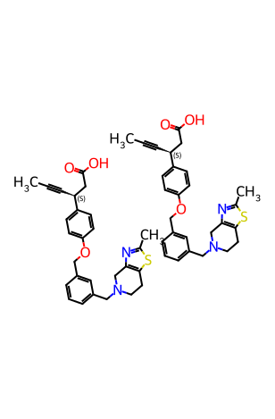 CC#C[C@@H](CC(=O)O)c1ccc(OCc2cccc(CN3CCc4sc(C)nc4C3)c2)cc1.CC#C[C@@H](CC(=O)O)c1ccc(OCc2cccc(CN3CCc4sc(C)nc4C3)c2)cc1